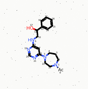 CC(=O)N1CCCN(c2cc(NCC(O)c3ccccc3)ncn2)CC1